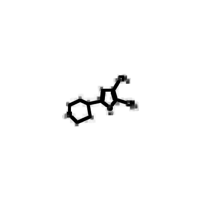 Cc1cc(C2CC[N]CC2)oc1C